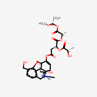 C[C@H](O)C(=O)O[C@@H](CC(=O)OC1=CC[C@@]2(O)[C@H]3Cc4ccc(CO)c5c4[C@@]2(CCN3C)[C@H]1O5)C(=O)O[C@@H](C)C(=O)O[C@H](OC(=O)O)C(=O)O